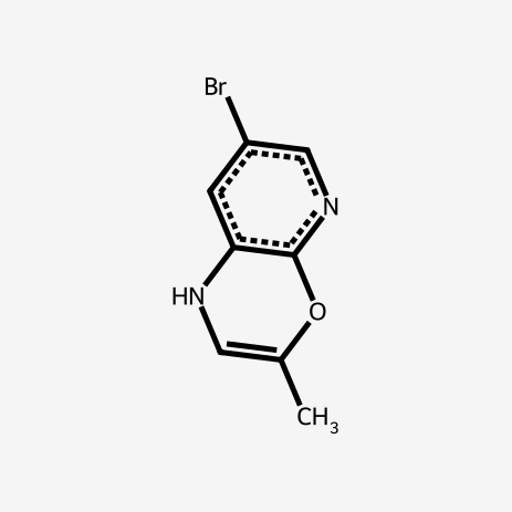 CC1=CNc2cc(Br)cnc2O1